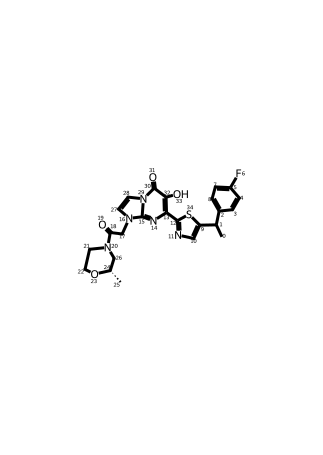 CC(c1ccc(F)cc1)c1cnc(-c2nc3n(CC(=O)N4CCO[C@@H](C)C4)ccn3c(=O)c2O)s1